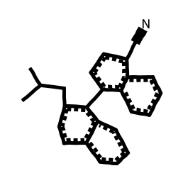 CC(C)Cc1ccc2ccccc2c1-c1ccc(C#N)c2ccccc12